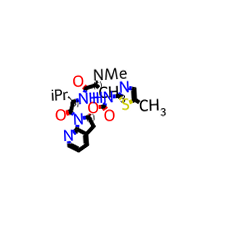 CN[C@@H](C)C(=O)N[C@H](C(=O)N1c2ncccc2C[C@@H]1OC(=O)Nc1ncc(C)s1)C(C)C